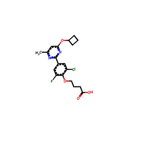 Cc1cc(OC2CCC2)nc(-c2cc(F)c(OCCCC(=O)O)c(Cl)c2)n1